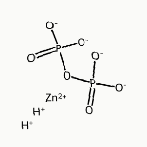 O=P([O-])([O-])OP(=O)([O-])[O-].[H+].[H+].[Zn+2]